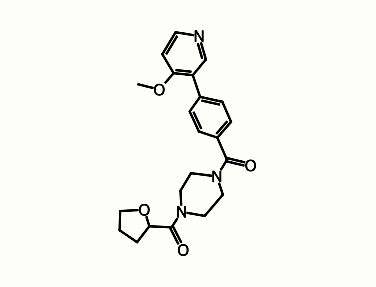 COc1ccncc1-c1ccc(C(=O)N2CCN(C(=O)C3CCCO3)CC2)cc1